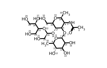 CC(=O)NC1C(O[C@@H]2OC(C)[C@@H](O)C(O)C2O)[C@H](O[C@@H](CO)OC(CO)[C@H](O)CO)C(CO)O[C@H]1C